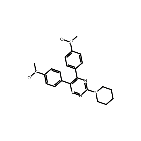 C[S+]([O-])c1ccc(-c2nnc(N3CCCCC3)nc2-c2ccc([S+](C)[O-])cc2)cc1